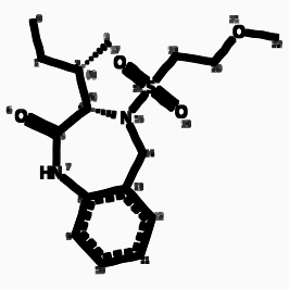 CC[C@H](C)[C@H]1C(=O)Nc2ccccc2CN1S(=O)(=O)CCOC